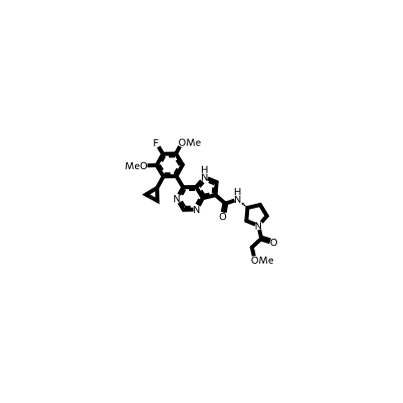 COCC(=O)N1CC[C@@H](NC(=O)c2c[nH]c3c(-c4cc(OC)c(F)c(OC)c4C4CC4)ncnc23)C1